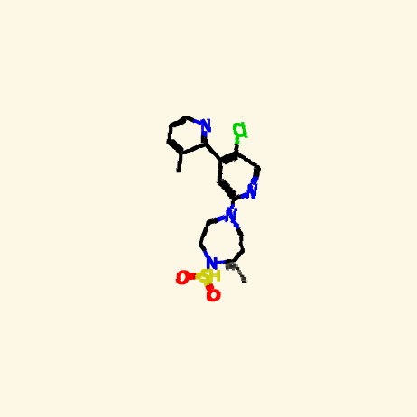 Cc1cccnc1-c1cc(N2CC[C@H](C)N([SH](=O)=O)CC2)ncc1Cl